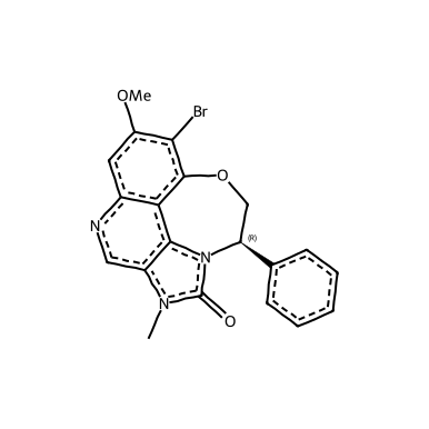 COc1cc2ncc3c4c2c(c1Br)OC[C@@H](c1ccccc1)n4c(=O)n3C